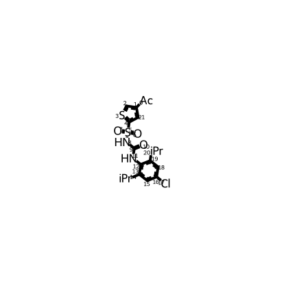 CC(=O)c1csc(S(=O)(=O)NC(=O)Nc2c(C(C)C)cc(Cl)cc2C(C)C)c1